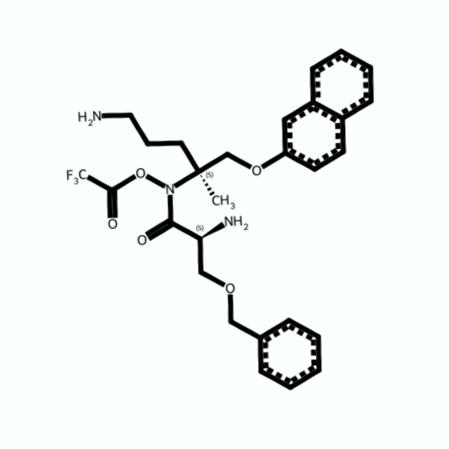 C[C@](CCCN)(COc1ccc2ccccc2c1)N(OC(=O)C(F)(F)F)C(=O)[C@@H](N)COCc1ccccc1